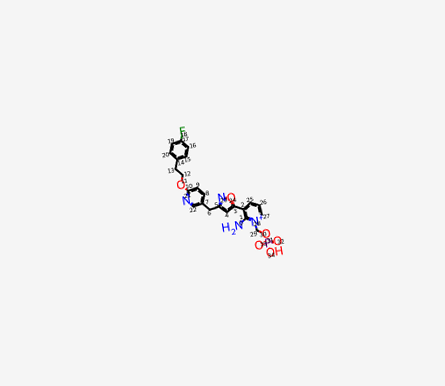 Nc1c(-c2cc(Cc3ccc(OCCc4ccc(F)cc4)nc3)no2)ccc[n+]1COP(=O)([O-])O